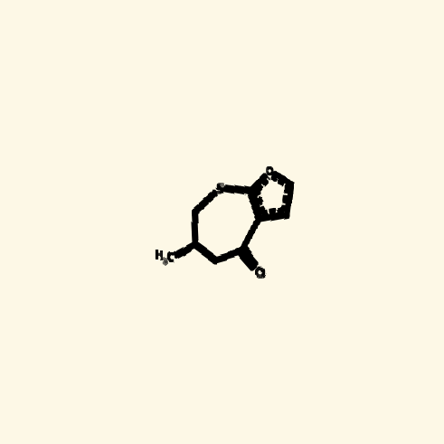 CC1CSc2occc2C(=O)C1